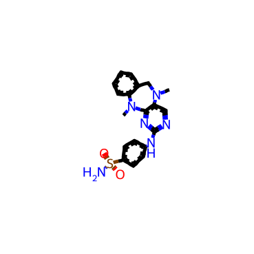 CN1Cc2ccccc2N(C)c2nc(Nc3ccc(S(N)(=O)=O)cc3)ncc21